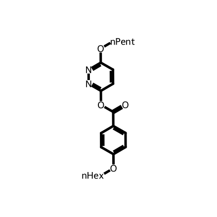 CCCCCCOc1ccc(C(=O)Oc2ccc(OCCCCC)nn2)cc1